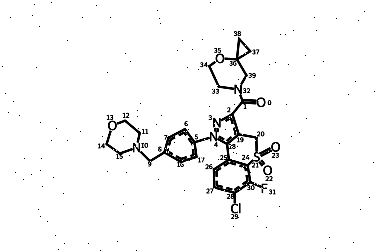 O=C(c1nn(-c2ccc(CN3CCOCC3)cc2)c2c1CS(=O)(=O)c1c-2ccc(Cl)c1F)N1CCOC2(CC2)C1